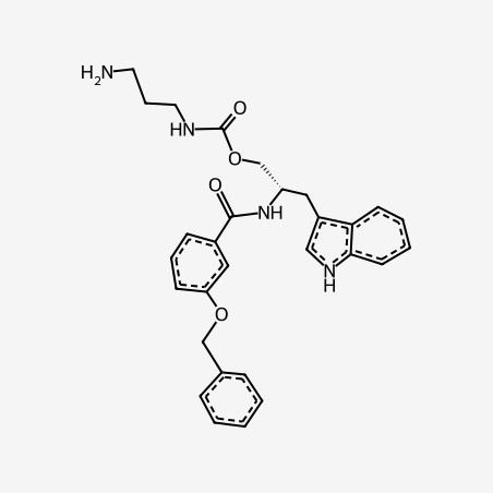 NCCCNC(=O)OC[C@H](Cc1c[nH]c2ccccc12)NC(=O)c1cccc(OCc2ccccc2)c1